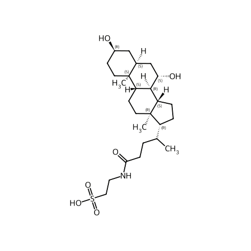 CC(CCC(=O)NCCS(=O)(=O)O)[C@H]1CC[C@H]2[C@@H]3[C@@H](O)C[C@@H]4C[C@H](O)CC[C@]4(C)[C@H]3CC[C@]12C